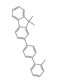 Cc1ccccc1-c1ccc(-c2ccc3c(c2)C(C)(C)c2ccccc2-3)cc1